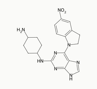 NC1CCC(Nc2nc(N3CCc4cc([N+](=O)[O-])ccc43)c3nc[nH]c3n2)CC1